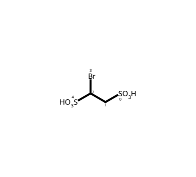 O=S(=O)(O)CC(Br)S(=O)(=O)O